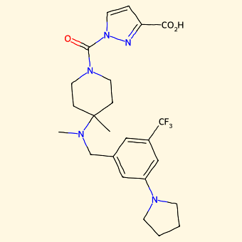 CN(Cc1cc(N2CCCC2)cc(C(F)(F)F)c1)C1(C)CCN(C(=O)n2ccc(C(=O)O)n2)CC1